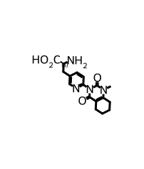 Cn1c2c(c(=O)n(-c3ccc(C[C@H](N)C(=O)O)cn3)c1=O)CCCC2